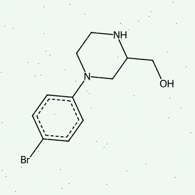 OCC1CN(c2ccc(Br)cc2)CCN1